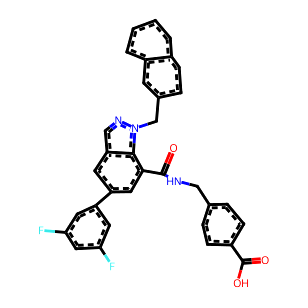 O=C(O)c1ccc(CNC(=O)c2cc(-c3cc(F)cc(F)c3)cc3cnn(Cc4ccc5ccccc5c4)c23)cc1